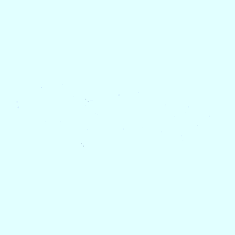 CC1(C)OP(=O)(Cc2ccc(C(=O)Nc3ccc(Br)cc3C#N)cc2)O1